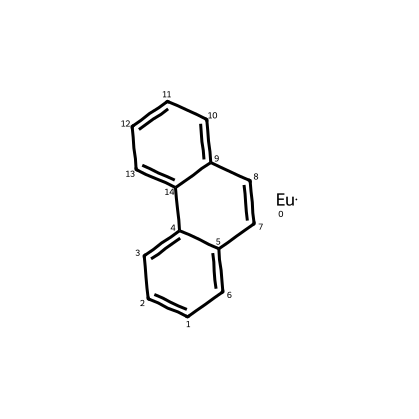 [Eu].c1ccc2c(c1)ccc1ccccc12